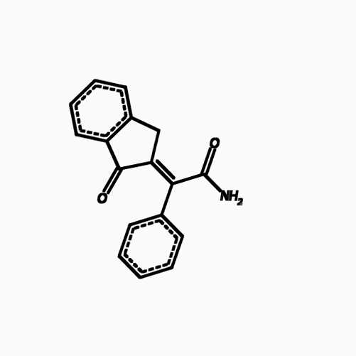 NC(=O)/C(=C1\Cc2ccccc2C1=O)c1ccccc1